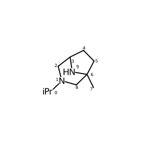 CC(C)N1CC2CCC(C)(C1)N2